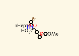 CCCCCCCOc1ccc(Br)cc1C(=O)N[C@@H](Cc1ccc(-c2ccccc2Oc2ccc(OC)cc2)cc1)C(=O)O